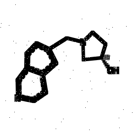 O[C@H]1CCN(Cc2ccc3cnccc3c2)C1